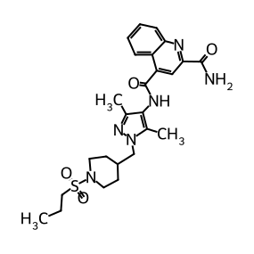 CCCS(=O)(=O)N1CCC(Cn2nc(C)c(NC(=O)c3cc(C(N)=O)nc4ccccc34)c2C)CC1